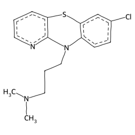 CN(C)CCCN1c2ccc(Cl)cc2Sc2cccnc21